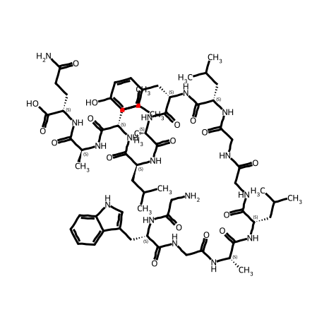 CC(C)C[C@H](NC(=O)CNC(=O)CNC(=O)[C@H](CC(C)C)NC(=O)[C@H](C)NC(=O)CNC(=O)[C@H](Cc1c[nH]c2ccccc12)NC(=O)CN)C(=O)N[C@@H](Cc1ccc(O)cc1)C(=O)N[C@@H](C)C(=O)N[C@@H](CC(C)C)C(=O)N[C@@H](CC(C)C)C(=O)N[C@@H](C)C(=O)N[C@@H](CCC(N)=O)C(=O)O